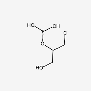 OCC(CCl)OP(O)O